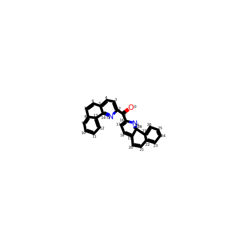 O=C(c1ccc2ccc3ccccc3c2n1)c1ccc2ccc3ccccc3c2n1